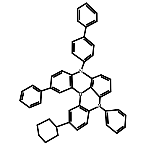 c1ccc(-c2ccc(N3c4ccc(-c5ccccc5)cc4B4c5cc(C6CCCCC6)ccc5N(c5ccccc5)c5cccc3c54)cc2)cc1